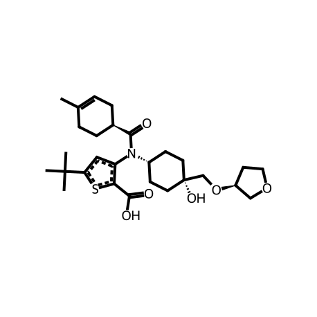 CC1=CC[C@@H](C(=O)N(c2cc(C(C)(C)C)sc2C(=O)O)[C@H]2CC[C@](O)(CO[C@H]3CCOC3)CC2)CC1